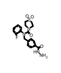 NNC(=O)c1ccc(CN(C(=O)N2CCS(=O)(=O)CC2)c2ccccc2F)cc1